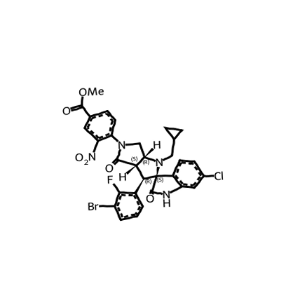 COC(=O)c1ccc(N2C[C@H]3[C@@H](C2=O)[C@H](c2cccc(Br)c2F)[C@]2(C(=O)Nc4cc(Cl)ccc42)N3CC2CC2)c([N+](=O)[O-])c1